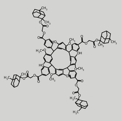 COc1cc(O)c2cc1C(c1ccc(C(=O)OCC(=O)OC3(C)C4CC5CC3CC(C)(C5)C4)cc1)c1cc(c(OC)cc1O)C(c1ccc(C(=O)OCC(=O)OC3(C)C4CC5CC3CC(C)(C5)C4)cc1)c1cc(c(OC)cc1O)C(c1ccc(C(=O)OCC(=O)OC3(C)C4CC5CC3CC(C)(C5)C4)cc1)c1cc(c(OC)cc1O)C2c1ccc(C(=O)OCC(=O)OC2(C)C3CC4CC2CC(C)(C4)C3)cc1